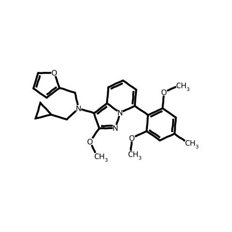 COc1cc(C)cc(OC)c1-c1cccc2c(N(Cc3ccco3)CC3CC3)c(OC)nn12